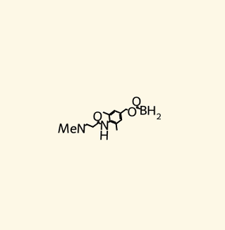 BC(=O)OCc1cc(C)c(NC(=O)CCNC)c(C)c1